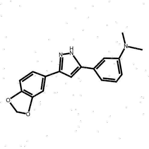 CN(C)c1cccc(-c2cc(-c3ccc4c(c3)OCO4)n[nH]2)c1